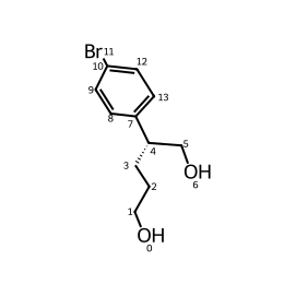 OCCC[C@@H](CO)c1ccc(Br)cc1